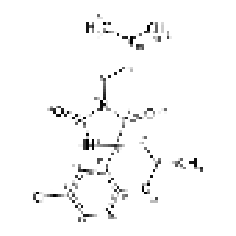 CC1CC2(NC(=O)N(CCN(C)C)C2=O)c2cc(Cl)ccc2O1